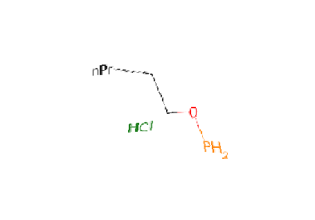 CCCCCOP.Cl